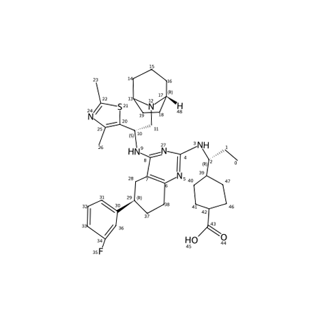 CC[C@@H](Nc1nc2c(c(N[C@@H](CN3C4CCC[C@@H]3CC4)c3sc(C)nc3C)n1)C[C@H](c1cccc(F)c1)CC2)C1CCC(C(=O)O)CC1